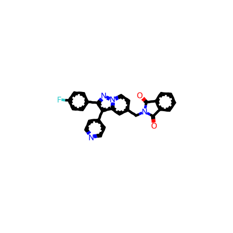 O=C1c2ccccc2C(=O)N1Cc1ccn2nc(-c3ccc(F)cc3)c(-c3ccncc3)c2c1